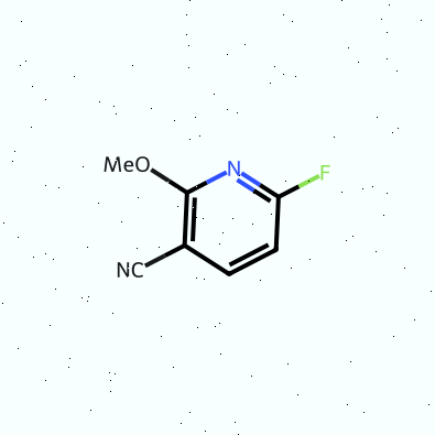 COc1nc(F)ccc1C#N